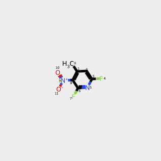 Cc1cc(F)nc(F)c1[N+](=O)[O-]